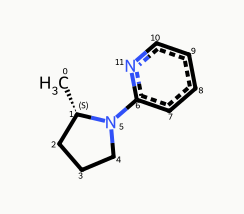 C[C@H]1CCCN1c1ccccn1